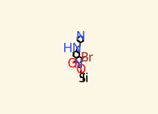 C[Si](C)(C)CCOCn1cc(Br)c2cc(NCc3ccncc3)ccc2c1=O